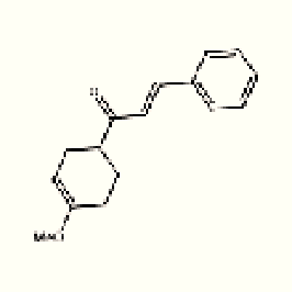 COC1=CCC(C(=O)C=Cc2ccccc2)CC1